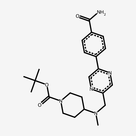 CN(Cc1cnc(-c2ccc(C(N)=O)cc2)cn1)C1CCN(C(=O)OC(C)(C)C)CC1